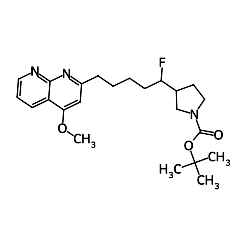 COc1cc(CCCCC(F)C2CCN(C(=O)OC(C)(C)C)C2)nc2ncccc12